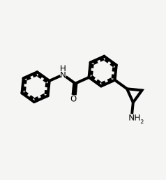 NC1CC1c1cccc(C(=O)Nc2ccccc2)c1